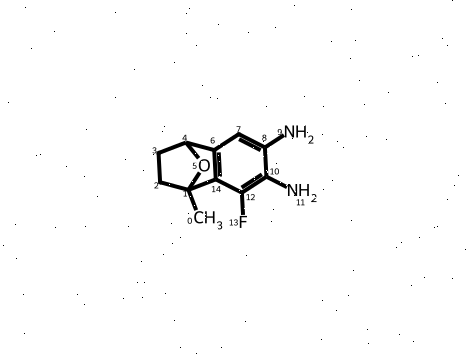 CC12CCC(O1)c1cc(N)c(N)c(F)c12